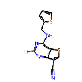 N#Cc1csc2c(NCc3cccs3)nc(Cl)nc12